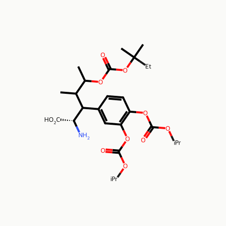 CCC(C)(C)OC(=O)OC(C)C(C)C(c1ccc(OC(=O)OC(C)C)c(OC(=O)OC(C)C)c1)[C@H](N)C(=O)O